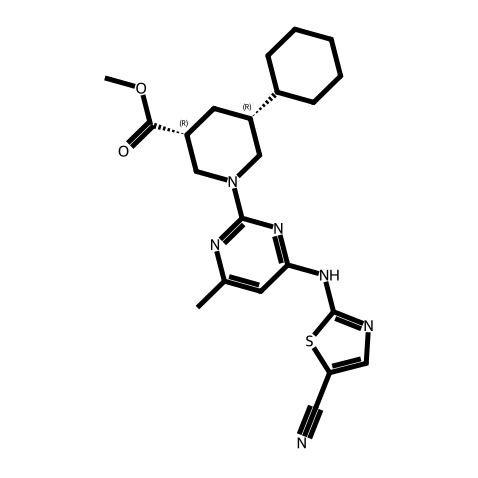 COC(=O)[C@@H]1C[C@H](C2CCCCC2)CN(c2nc(C)cc(Nc3ncc(C#N)s3)n2)C1